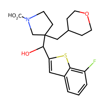 O=C(O)N1CCC(CC2CCOCC2)(C(O)c2cc3cccc(F)c3s2)C1